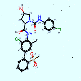 Cc1cc(-c2ccccc2S(C)(=O)=O)cc(Cl)c1NC(=O)C1CC(O)CN1C(=O)Nc1ccc(Cl)cc1